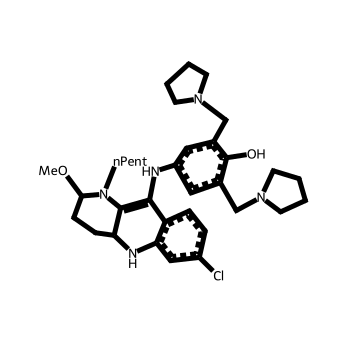 CCCCCN1C2=C(Nc3cc(CN4CCCC4)c(O)c(CN4CCCC4)c3)c3ccc(Cl)cc3NC2CCC1OC